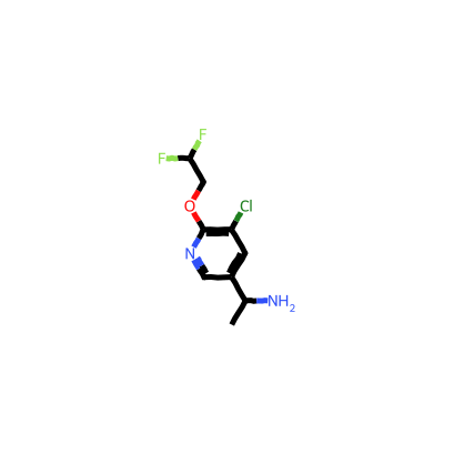 CC(N)c1cnc(OCC(F)F)c(Cl)c1